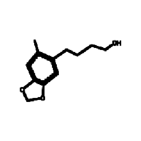 Cc1cc2c(cc1CCCCO)OCO2